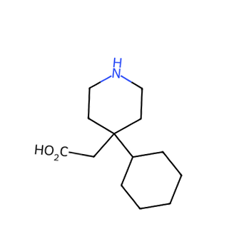 O=C(O)CC1(C2CCCCC2)CCNCC1